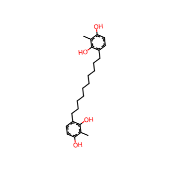 Cc1c(O)ccc(CCCCCCCCCCc2ccc(O)c(C)c2O)c1O